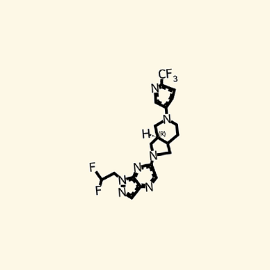 FC(F)Cn1ncc2ncc(N3CC4CCN(c5ccc(C(F)(F)F)nc5)C[C@@H]4C3)nc21